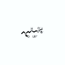 CCN(C=O)CCNCCOP([O-])([O-])=S.[Li+].[Li+]